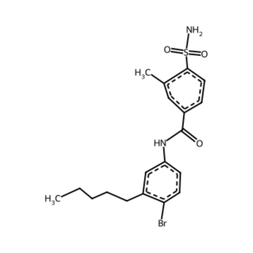 CCCCCc1cc(NC(=O)c2ccc(S(N)(=O)=O)c(C)c2)ccc1Br